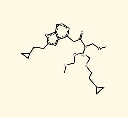 COCO[C@H](CSCCC1CC1)N(COC)C(=O)Cc1nccc2oc(CCC3CC3)cc12